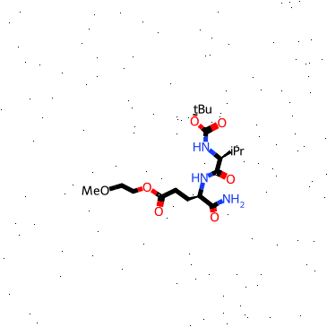 COCCOC(=O)CC[C@@H](NC(=O)[C@@H](NC(=O)OC(C)(C)C)C(C)C)C(N)=O